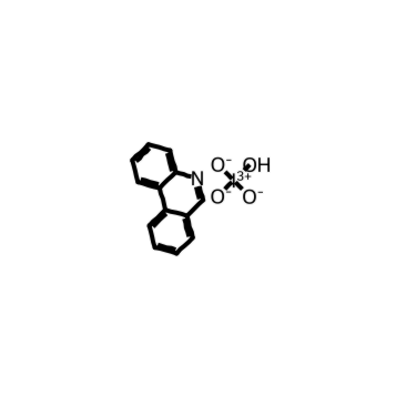 [O-][I+3]([O-])([O-])O.c1ccc2c(c1)cnc1ccccc12